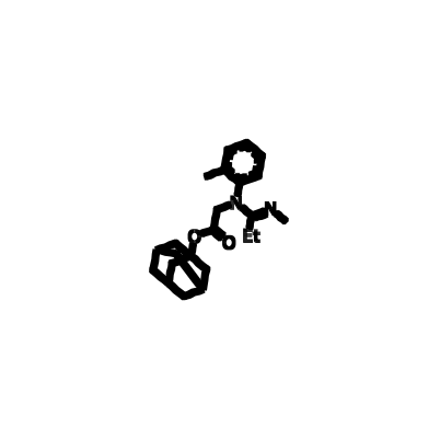 CC/C(=N\C)N(CC(=O)OC12CC3CC(CC(C3)C1)C2)c1ccccc1C